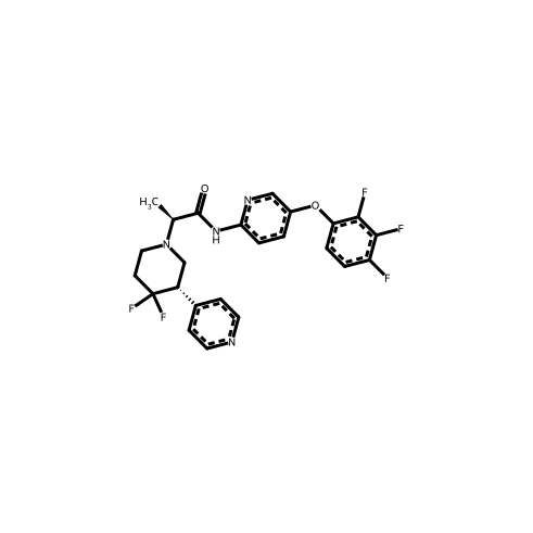 C[C@@H](C(=O)Nc1ccc(Oc2ccc(F)c(F)c2F)cn1)N1CCC(F)(F)[C@@H](c2ccncc2)C1